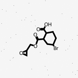 O=C(O)C1CCC(Br)CC1C(=O)OCC1CO1